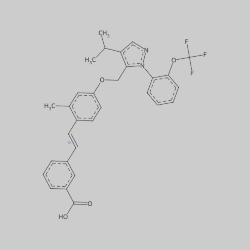 Cc1cc(OCc2c(C(C)C)cnn2-c2ccccc2OC(F)(F)F)ccc1/C=C/c1cccc(C(=O)O)c1